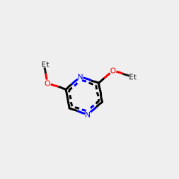 CCOc1cncc(OCC)n1